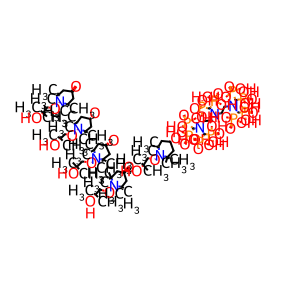 CC(C)(O)CON1C(C)(C)CC(=O)CC1(C)C.CC(C)(O)CON1C(C)(C)CC(=O)CC1(C)C.CC(C)(O)CON1C(C)(C)CC(=O)CC1(C)C.CC(C)(O)CON1C(C)(C)CC(=O)CC1(C)C.CC(C)(O)CON1C(C)(C)CC(=O)CC1(C)C.O=P(O)(O)C(N(CCN(C(P(=O)(O)O)P(=O)(O)O)C(P(=O)(O)O)P(=O)(O)O)CCN(C(P(=O)(O)O)P(=O)(O)O)C(P(=O)(O)O)P(=O)(O)O)P(=O)(O)O